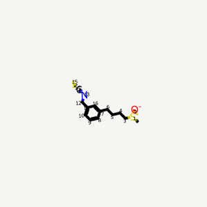 C[S+]([O-])CCCCc1cccc(CN=C=S)c1